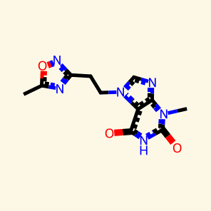 Cc1nc(CCn2cnc3c2c(=O)[nH]c(=O)n3C)no1